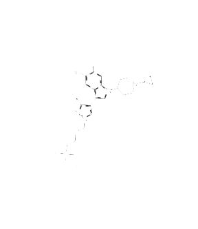 CS(C)(C)CCOCn1cc(-c2cn(C3CCN(C4CC4)CC3)c3cc(F)c(Br)cc23)c(Cl)n1